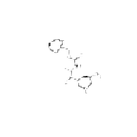 Cc1cc(C(=O)C(C)NC(=O)OCc2ccccc2)cc(C(F)(F)F)c1